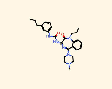 CCCc1cccc(NC(=O)N[C@@H]2N=C(N3CCN(C)CC3)c3ccccc3N(CCC)C2=O)c1